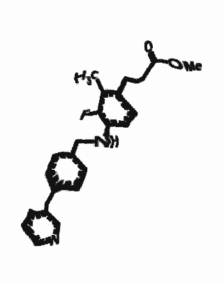 COC(=O)CCc1ccc(NCc2ccc(-c3cccnc3)cc2)c(F)c1C